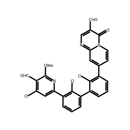 COc1nc(-c2cccc(-c3cccc(-c4ccn5c(=O)c(C=O)cnc5c4)c3Cl)c2Cl)cc(Cl)c1C=O